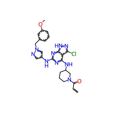 C=CC(=O)N1CCCC(Nc2nc(Nc3cnn(Cc4cccc(OC)c4)c3)nc3[nH]nc(Cl)c23)C1